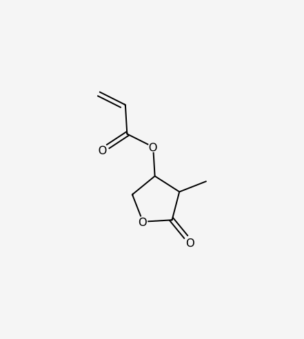 C=CC(=O)OC1COC(=O)C1C